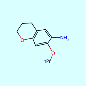 CCCOc1cc2c(cc1N)CCCO2